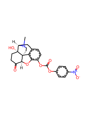 CN1CC[C@]23c4c5ccc(OC(=O)Oc6ccc([N+](=O)[O-])cc6)c4O[C@H]2C(=O)CC[C@@]3(O)[C@H]1C5